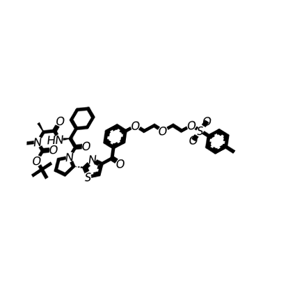 Cc1ccc(S(=O)(=O)OCCOCCOc2cccc(C(=O)c3csc([C@@H]4CCCN4C(=O)[C@@H](NC(=O)[C@H](C)N(C)C(=O)OC(C)(C)C)C4CCCCC4)n3)c2)cc1